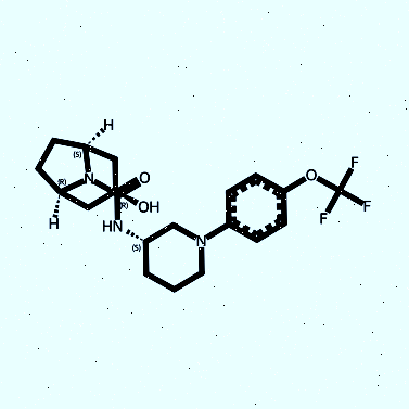 O=C(N[C@H]1CCCN(c2ccc(OC(F)(F)F)cc2)C1)N1[C@@H]2CC[C@H]1C[C@@H](O)C2